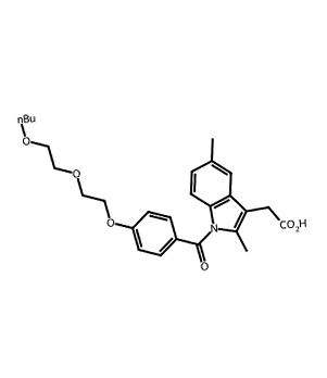 CCCCOCCOCCOc1ccc(C(=O)n2c(C)c(CC(=O)O)c3cc(C)ccc32)cc1